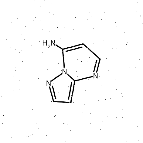 Nc1ccnc2c[c]nn12